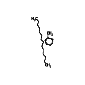 CCCCCCCCCCCCCC.Cc1ccccc1